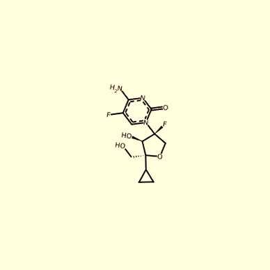 Nc1nc(=O)n([C@]2(F)CO[C@@](CO)(C3CC3)[C@H]2O)cc1F